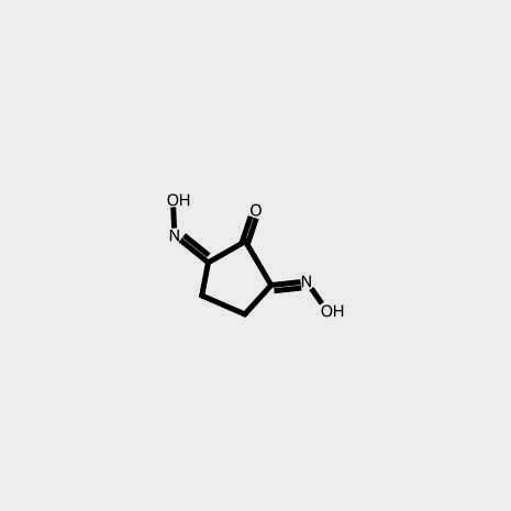 O=C1C(=NO)CCC1=NO